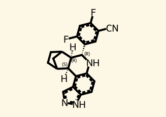 N#Cc1cc([C@@H]2Nc3ccc4[nH]ncc4c3[C@H]3C4CCC(C4)[C@@H]23)c(F)cc1F